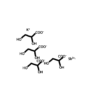 O=C([O-])C(O)CO.O=C([O-])C(O)CO.O=C([O-])C(O)CO.O=C([O-])C(O)CO.[K+].[Sb+3]